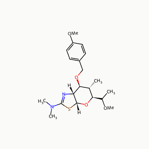 COc1ccc(CO[C@H]2[C@H](C)[C@@H](C(C)OC)O[C@@H]3SC(N(C)C)=N[C@H]23)cc1